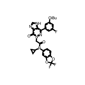 CC(C)COc1cc(F)cc(-c2nn(CC(=O)N(c3ccc4c(c3)OC(F)(F)O4)C3CC3)c(=O)c3nc[nH]c23)c1